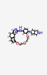 c1cc(N2CC3CNCC3C2)c2cc1Nc1ncc3c(n1)-c1cc(ccc1CC3)OCCOCCO2